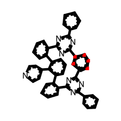 c1ccc(-c2nc(-c3ccccc3)nc(-c3ccccc3-c3cccc(-c4ccccc4-c4nc(-c5ccccc5)nc(-c5ccccc5)n4)c3-c3ccncc3)n2)cc1